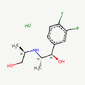 C[C@H](CO)N[C@@H](C)[C@H](O)c1ccc(F)c(F)c1.Cl